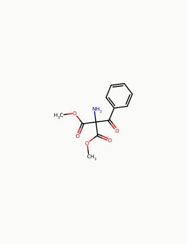 COC(=O)C(N)(C(=O)OC)C(=O)c1ccccc1